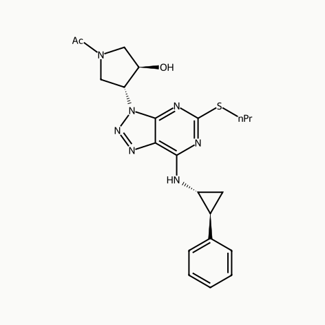 CCCSc1nc(N[C@@H]2C[C@H]2c2ccccc2)c2nnn([C@@H]3CN(C(C)=O)C[C@H]3O)c2n1